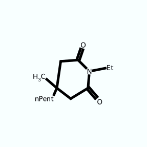 CCCCCC1(C)CC(=O)N(CC)C(=O)C1